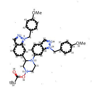 COc1ccc(Cn2ncc3ccc(C4CN(OC(=O)C(C)(C)C)CCN4c4ccc5cnn(Cc6ccc(OC)cc6)c5c4)cc32)cc1